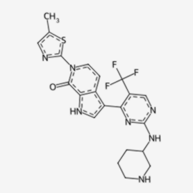 Cc1cnc(-n2ccc3c(-c4nc(NC5CCCNC5)ncc4C(F)(F)F)c[nH]c3c2=O)s1